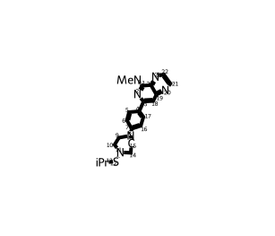 CNc1nc(-c2ccc(N3CCN(SC(C)C)CC3)cc2)cc2nccnc12